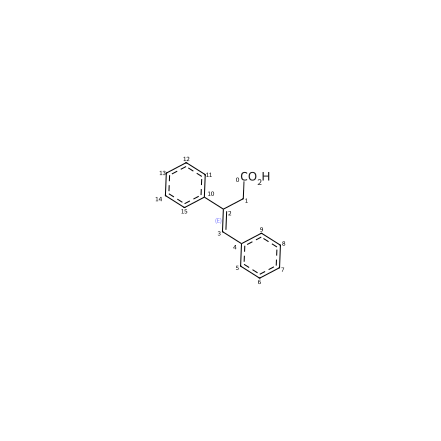 O=C(O)C/C(=C\c1ccccc1)c1ccccc1